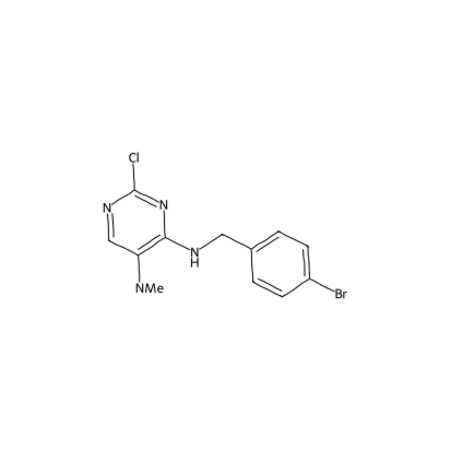 CNc1cnc(Cl)nc1NCc1ccc(Br)cc1